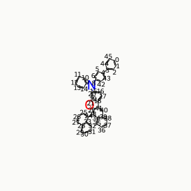 c1ccc(-c2ccc(N(c3ccccc3)c3ccc4c(c3)oc3c(-c5cccc6ccccc56)c5ccccc5cc34)cc2)cc1